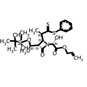 C=CCOC(=O)[C@@H](O)N1C(=O)[C@H]([C@@H](C)O[Si](C)(C)C(C)(C)C)[C@H]1[C@@H](C)C(=S)Sc1ccccc1